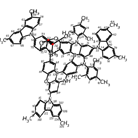 Cc1cc(C)c(N2c3cc4c(cc3B3c5cc6c(cc5N(c5c(C)cc(C)cc5C)c5cc(-n7c8ccc(C)cc8c8cc(C)ccc87)cc2c53)Oc2cc(-n3c5ccc(C)cc5c5cc(C)ccc53)cc3c2B6c2cc(C)ccc2O3)B2c3cc(C)ccc3Oc3cc(-n5c6ccc(C)cc6c6cc(C)ccc65)cc(c32)N4)c(C)c1